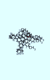 Cc1cc2c3c(c1)N(c1ccc(C(C)(C)C)cc1-c1ccccc1)C1=C(B3n3c4ccc(C56CC7CC(CC(C7)C5)C6)cc4c4cc(C56CC7CC(CC(C7)C5)C6)cc-2c43)c2cc3c(cc2C1(C)C)C(C)(C)CCC3(C)C